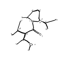 COC(C)C(C(=O)N1C(C)CC[C@H]1C(C)C)C(C)C